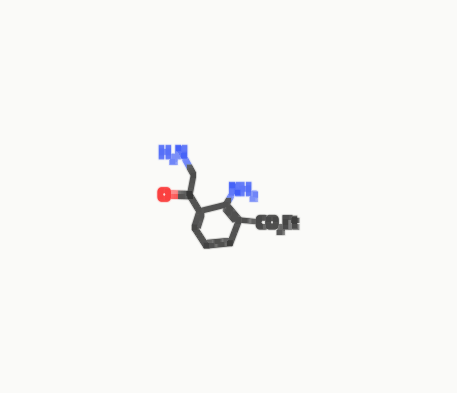 CCOC(=O)c1cccc(C(=O)CN)c1N